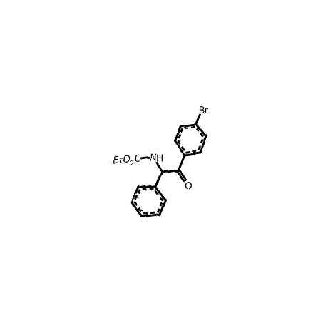 CCOC(=O)NC(C(=O)c1ccc(Br)cc1)c1ccccc1